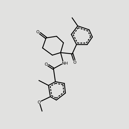 COc1cccc(C(=O)NC2(C(=O)c3cccc(C)c3)CCC(=O)CC2)c1C